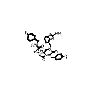 COc1ccc(C[C@H]2C(=O)N(Cc3cccc4sc(N)nc34)C[C@H]3N2C(=O)CN3N(C)C(=O)NCc2ccc(F)cc2)cc1